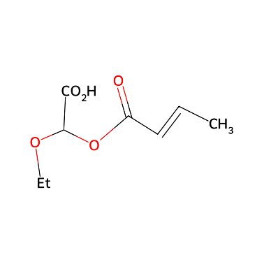 CC=CC(=O)OC(OCC)C(=O)O